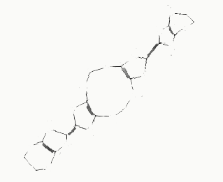 C1CSC2=C(S1)SC(=C1SC3=C(SCSC4=C(SCS3)SC(=C3SC5=C(SCCS5)S3)S4)S1)S2